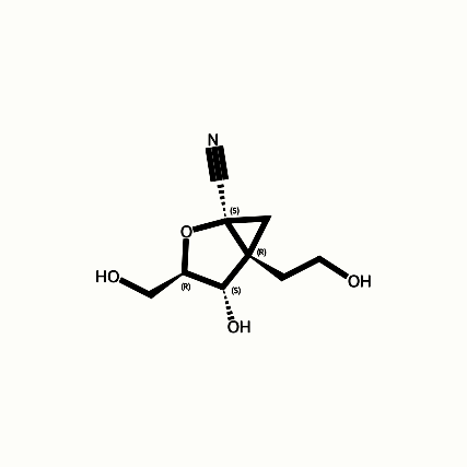 N#C[C@]12C[C@]1(CCO)[C@H](O)[C@@H](CO)O2